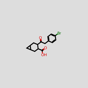 O=C(O)C1CC2CC2CC1C(=O)Cc1ccc(Br)cc1